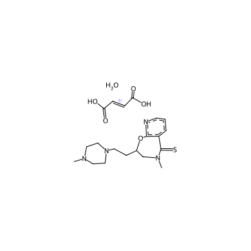 CN1CCN(CCC2CN(C)C(=S)c3cccnc3O2)CC1.O.O=C(O)/C=C/C(=O)O